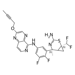 CC#CCOc1cnc2c(Nc3cc(F)c(F)c([C@@]4(C)N=C(N)S[C@@]5(C(F)F)CC54)c3)nccc2n1